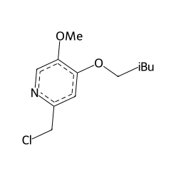 CCC(C)COc1cc(CCl)ncc1OC